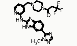 Cn1ncnc1-c1ccc2nc(Nc3cc(CN4CCN(C(=O)CC(F)(F)F)CC4)ccn3)[nH]c2c1